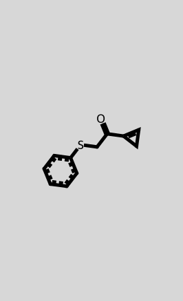 O=C(CSc1ccccc1)C1=CC1